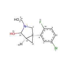 O=C(O)N1C[C@@]2(c3cc(Br)ccc3F)C[C@H]2C1O